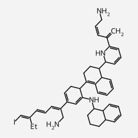 C=C(/C=C\CN)C1=CC=CC(C2CCC(C3CC=C(/C(=C/C=C/C(=C/I)CC)CN)C=C3NC3CCCC4C=CC=CC43)=C3C=CC=CC32)N1